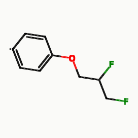 FCC(F)COc1cc[c]cc1